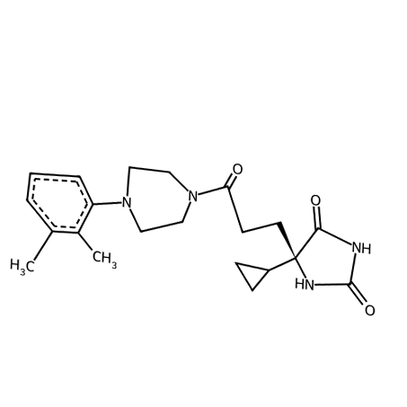 Cc1cccc(N2CCN(C(=O)CC[C@]3(C4CC4)NC(=O)NC3=O)CC2)c1C